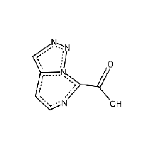 O=C(O)c1nccc2cnnn12